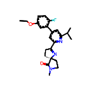 CCOc1ccc(F)c(-c2cc(C3=N[C@@]4(CC3)CCN(C)C4=O)nc(C(C)C)c2)c1